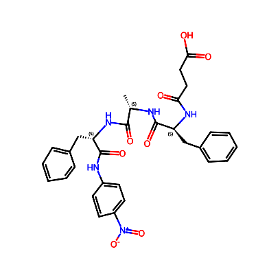 C[C@H](NC(=O)[C@H](Cc1ccccc1)NC(=O)CCC(=O)O)C(=O)N[C@@H](Cc1ccccc1)C(=O)Nc1ccc([N+](=O)[O-])cc1